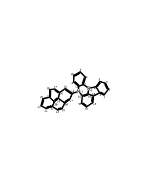 c1ccc2c(c1)B1c3ccccc3N(c3cc4ccc5cccc6ccc(c3)c4c56)c3cccc-2c31